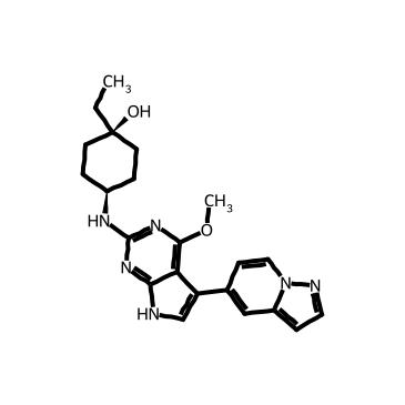 CC[C@]1(O)CC[C@@H](Nc2nc(OC)c3c(-c4ccn5nccc5c4)c[nH]c3n2)CC1